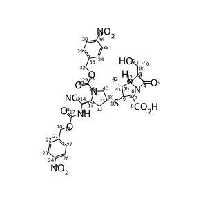 C[C@@H](O)[C@H]1C(=O)N2C(C(=O)O)=C(S[C@@H]3C[C@@H](C(C#N)NC(=O)OCc4ccc([N+](=O)[O-])cc4)N(C(=O)OCc4ccc([N+](=O)[O-])cc4)C3)[C@H](C)[C@H]12